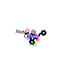 CN[C@@H](C)C(=O)N[C@H](C(=O)N1Cc2ccccc2C1C(=O)NCCc1ccccc1)C(C)C.Cl